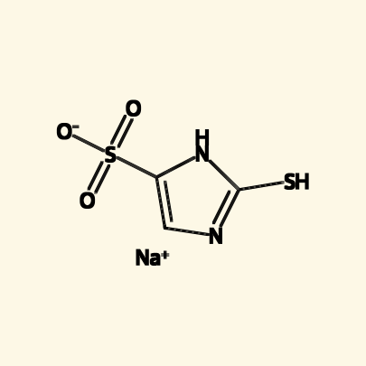 O=S(=O)([O-])c1cnc(S)[nH]1.[Na+]